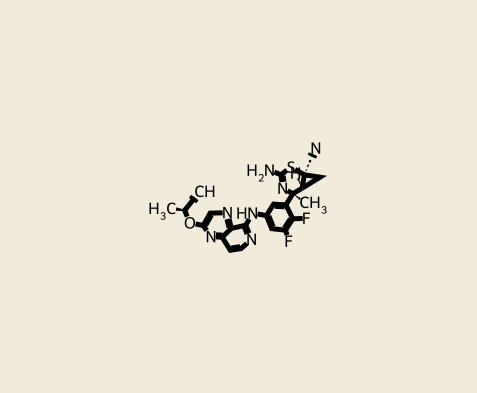 C#C[C@H](C)Oc1cnc2c(Nc3cc(F)c(F)c([C@@]4(C)N=C(N)S[C@@]5(C#N)C[C@H]54)c3)nccc2n1